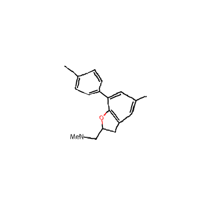 CNCC1Cc2cc(C)cc(-c3ccc(C)cc3)c2O1